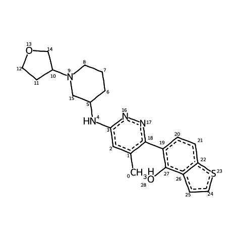 Cc1cc(NC2CCCN(C3CCOC3)C2)nnc1-c1ccc2sccc2c1O